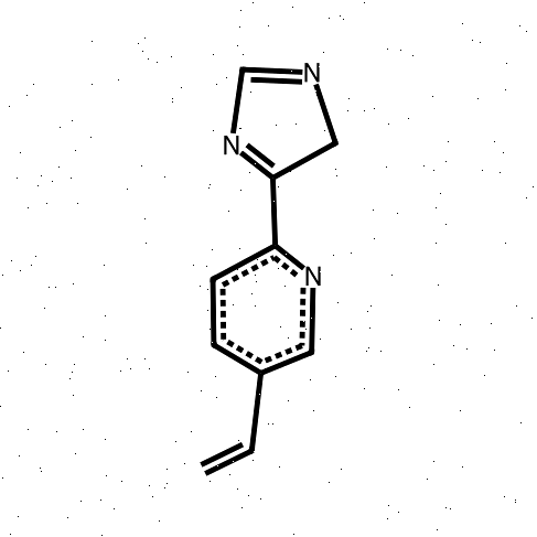 C=Cc1ccc(C2=NC=NC2)nc1